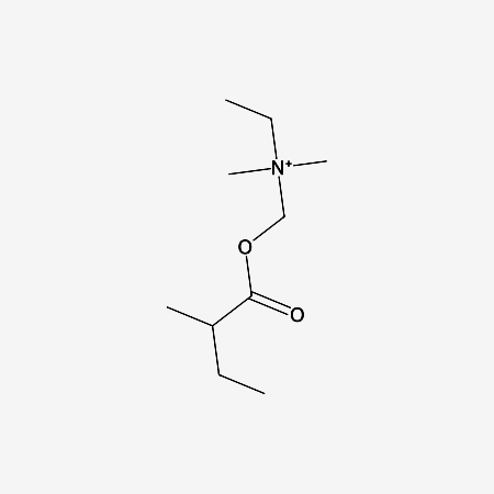 CCC(C)C(=O)OC[N+](C)(C)CC